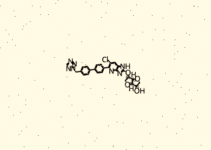 O[C@@H]1CO[C@H]2[C@@H]1OC[C@H]2Oc1nc2nc(-c3ccc(-c4ccc(Cn5ncnn5)cc4)cc3)c(Cl)cc2[nH]1